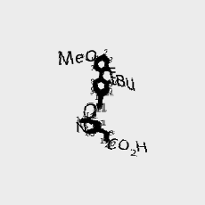 COc1ccc(F)c(-c2ccc(COc3cncc(CCC(=O)O)c3)cc2C(C)(C)C)c1